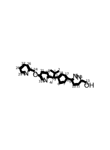 CC(C)[C@@](C)(c1ccc(-c2ccc(CO)nn2)cc1)c1ccc(OCc2ccccn2)cn1